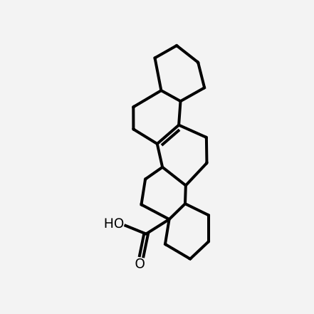 O=C(O)C12CCCCC1C1CCC3=C(CCC4CCCCC34)C1CC2